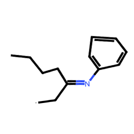 [CH2]CC(CCCC)=Nc1ccccc1